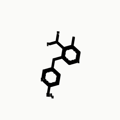 Cc1cncc(Cc2ccc(N)nc2)c1C(F)F